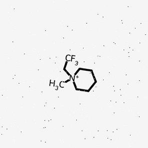 C[N+]1(CC(F)(F)F)CCCCC1